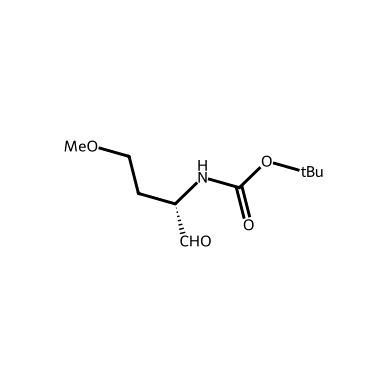 COCC[C@@H](C=O)NC(=O)OC(C)(C)C